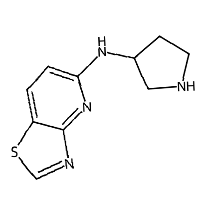 c1nc2nc(NC3CCNC3)ccc2s1